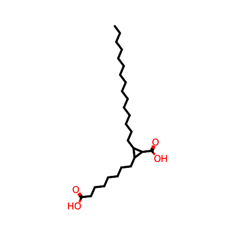 CCCCCCCCCCCCCCCC1C(CCCCCCCC(=O)O)C1C(=O)O